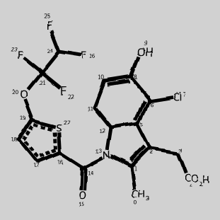 CC1=C(CC(=O)O)C2=C(Cl)C(O)=CCC2N1C(=O)c1ccc(OC(F)(F)C(F)F)s1